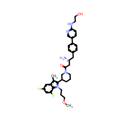 COCCCn1c(C2CCCN(C(=O)C[C@H](N)Cc3ccc(-c4ccc(NCCO)nc4)cc3)C2)c(C)c2cc(F)cc(F)c21